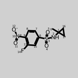 CC1(NS(=O)(=O)c2ccc([N+](=O)[O-])c(F)c2)CC1